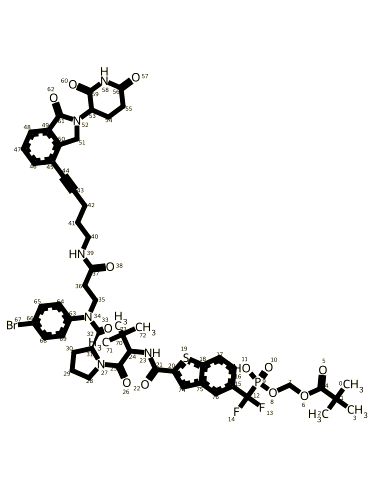 CC(C)(C)C(=O)OCOP(=O)(O)C(F)(F)c1ccc2sc(C(=O)NC(C(=O)N3CCC[C@H]3C(=O)N(CCC(=O)NCCCC#Cc3cccc4c3CN(C3CCC(=O)NC3=O)C4=O)c3ccc(Br)cc3)C(C)(C)C)cc2c1